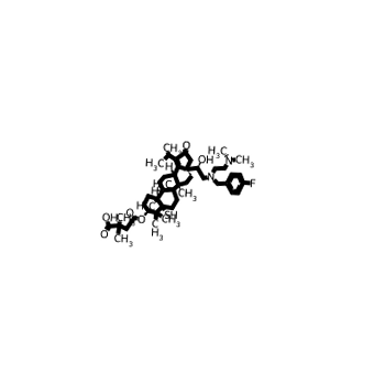 CC(C)C1=C2[C@H]3CC[C@@H]4[C@@]5(C)CC[C@H](OC(=O)CC(C)(C)C(=O)O)C(C)(C)C5(S)CC[C@@]4(C)[C@]3(C)CC[C@@]2([C@H](O)CN(CCN(C)C)Cc2ccc(F)cc2)CC1=O